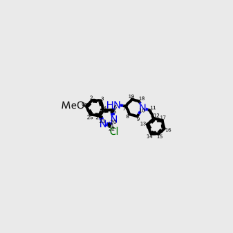 COc1ccc2c(NC3CCN(Cc4ccccc4)CC3)nc(Cl)nc2c1